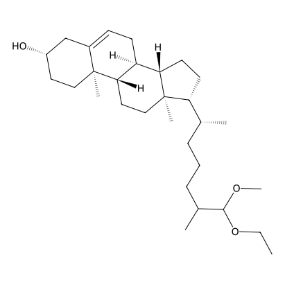 CCOC(OC)C(C)CCC[C@@H](C)[C@H]1CC[C@H]2[C@@H]3CC=C4C[C@@H](O)CC[C@]4(C)[C@H]3CC[C@]12C